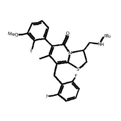 COc1cccc(-c2c(C)c(Cc3c(F)cccc3F)c3n(c2=O)C(CNC(C)(C)C)CS3)c1F